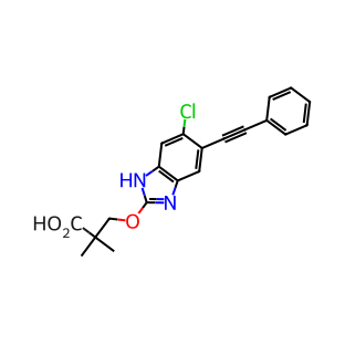 CC(C)(COc1nc2cc(C#Cc3ccccc3)c(Cl)cc2[nH]1)C(=O)O